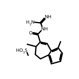 CS(=O)(=O)O.Cc1cccc2c1C=C(C(=O)NC(=N)N)C(C)CC2